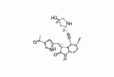 CC(=O)c1c[nH]c(/C=C2\C(=O)Nc3ccc(F)c(C#C[C@@H]4C[C@@H](O)CN4)c32)c1